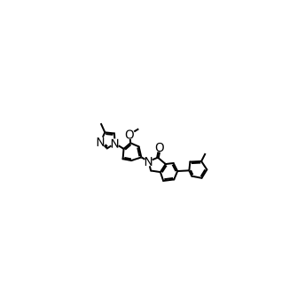 COc1cc(N2Cc3ccc(-c4cccc(C)c4)cc3C2=O)ccc1-n1cnc(C)c1